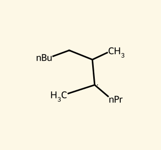 CCCCCC(C)[C](C)CCC